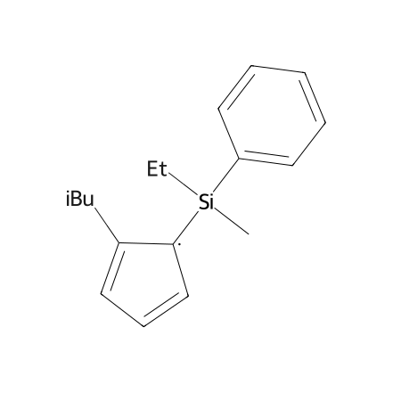 CCC(C)C1=CC=C[C]1[Si](C)(CC)c1ccccc1